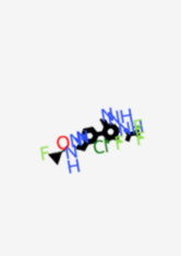 CC(Nc1c(F)c(Cl)c(-c2ccn3nc(NC(=O)[C@@H]4C[C@@H]4F)cc3c2)c2cn[nH]c12)C(F)F